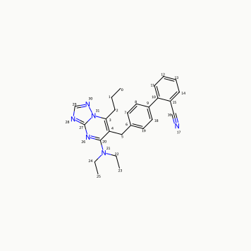 CCCc1c(Cc2ccc(-c3ccccc3C#N)cc2)c(N(CC)CC)nc2ncnn12